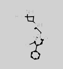 CC1(N)CC(NC(=O)Cn2nc(Cl)c(-c3ccccc3)cc2=O)C1